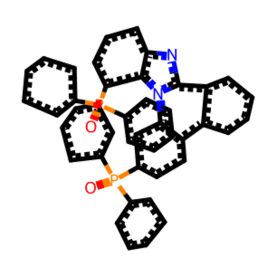 O=P(c1ccccc1)(c1ccccc1)c1ccc2c3ccccc3c3nc4cccc(P(=O)(c5ccccc5)c5ccccc5)c4n3c2c1